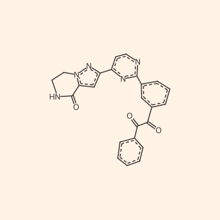 O=C(C(=O)c1cccc(-c2nccc(-c3cc4n(n3)CCNC4=O)n2)c1)c1ccccc1